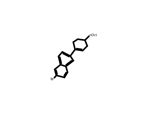 CCCCCCCCC1CC=C(c2ccc3cc(Br)ccc3c2)CC1